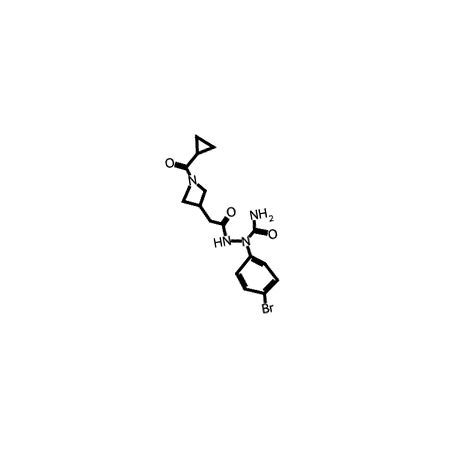 NC(=O)N(NC(=O)CC1CN(C(=O)C2CC2)C1)c1ccc(Br)cc1